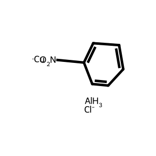 O=[N+]([O-])c1ccccc1.[AlH3].[Cl-].[Cu]